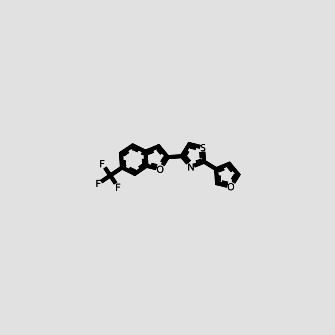 FC(F)(F)c1ccc2cc(-c3csc(-c4ccoc4)n3)oc2c1